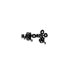 COC(=O)C(COc1ccc(B2OC(C)(C)C(C)(C)O2)cc1)NC(c1ccccc1)(c1ccccc1)c1ccccc1